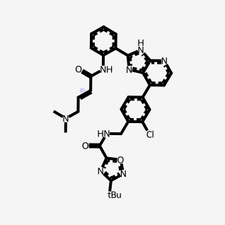 CN(C)C/C=C/C(=O)Nc1ccccc1-c1nc2c(-c3ccc(CNC(=O)c4nc(C(C)(C)C)no4)c(Cl)c3)ccnc2[nH]1